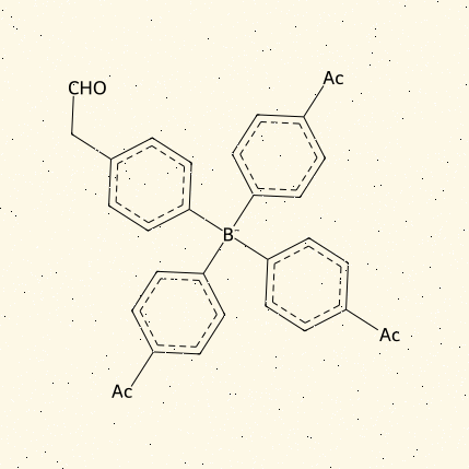 CC(=O)c1ccc([B-](c2ccc(CC=O)cc2)(c2ccc(C(C)=O)cc2)c2ccc(C(C)=O)cc2)cc1